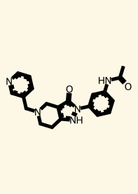 CC(=O)Nc1cccc(-n2[nH]c3c(c2=O)CN(Cc2cccnc2)CC3)c1